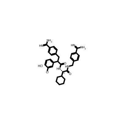 Cl.N=C(N)c1ccc(CNC(=O)[C@@H](NC(=O)C(Cc2ccc(C(=N)N)cc2)c2cccc(Cl)c2)C2CCCCC2)cc1